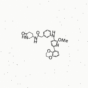 COc1nc(-c2cccc3c2OCCO3)ccc1Nc1cccc(CC(=O)NC2CCC(=O)NC2)c1